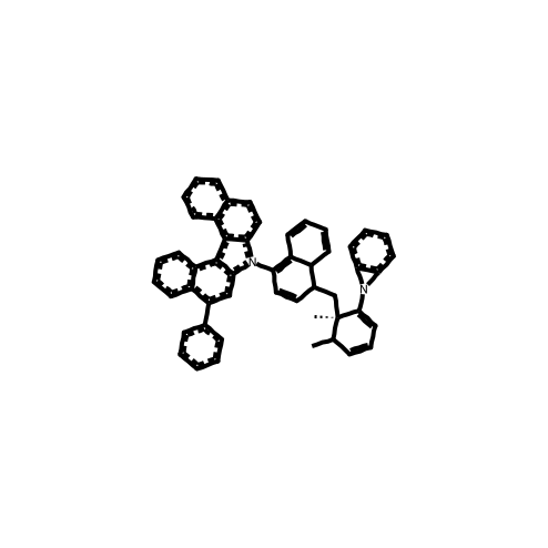 CC1C=CC=C(N2c3ccccc32)[C@]1(C)CC1C=CC(n2c3ccc4ccccc4c3c3c4ccccc4c(-c4ccccc4)cc32)=C2C=CC=CC21